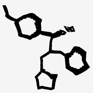 CCc1ccc(C(=O)C(CN2CCCC2)c2ccccc2)cc1.Cl